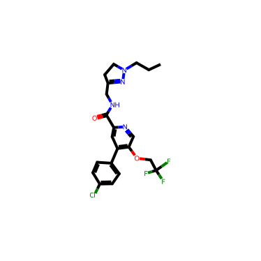 CCCN1CCC(CNC(=O)c2cc(-c3ccc(Cl)cc3)c(OCC(F)(F)F)cn2)=N1